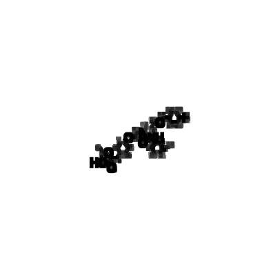 CCOC(Cc1ccc(OCCN(CCCOCc2ccc(F)cc2)C(=O)Nc2cccc(C)c2)cc1)C(=O)O